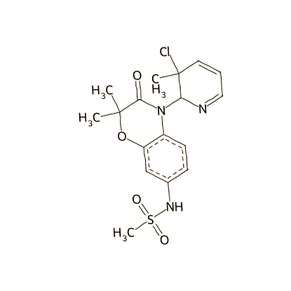 CC1(C)Oc2cc(NS(C)(=O)=O)ccc2N(C2N=CC=CC2(C)Cl)C1=O